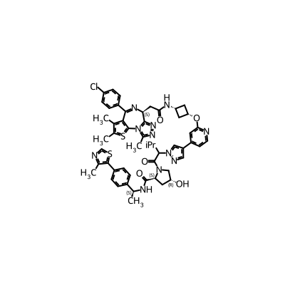 Cc1ncsc1-c1ccc([C@H](C)NC(=O)[C@@H]2C[C@@H](O)CN2C(=O)C(C(C)C)n2cc(-c3ccnc(O[C@H]4C[C@@H](NC(=O)C[C@@H]5N=C(c6ccc(Cl)cc6)c6c(sc(C)c6C)-n6c(C)nnc65)C4)c3)cn2)cc1